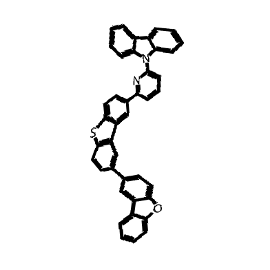 c1cc(-c2ccc3sc4ccc(-c5ccc6oc7ccccc7c6c5)cc4c3c2)nc(-n2c3ccccc3c3ccccc32)c1